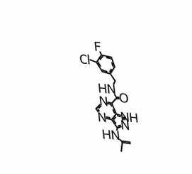 C=C(C)Nc1n[nH]c2c(C(=O)NCc3ccc(F)c(Cl)c3)ncnc12